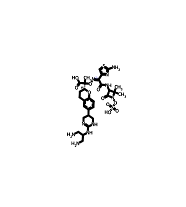 CC(O/N=C(\C(=O)NC1C(=O)N(OS(=O)(=O)O)C1(C)C)c1csc(N)n1)(C(=O)O)[C@H]1CCc2cc(C3CN=C(NC(CN)CN)NC3)ccc2O1